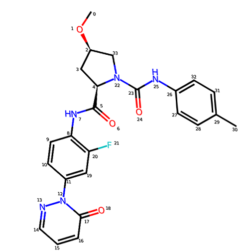 CO[C@@H]1C[C@H](C(=O)Nc2ccc(-n3ncccc3=O)cc2F)N(C(=O)Nc2ccc(C)cc2)C1